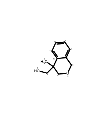 CC1(CO)COCc2ccccc21